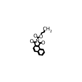 C=CCOC(=O)N1C(=O)c2ccc3ccccc3c2C1=O